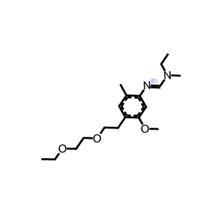 CCOCCOCCc1cc(C)c(/N=C/N(C)CC)cc1OC